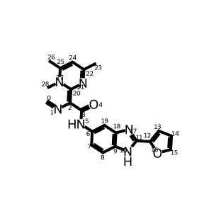 C=N/C(C(=O)Nc1ccc2[nH]c(-c3ccco3)nc2c1)=C1/N=C(C)C=C(C)N1C